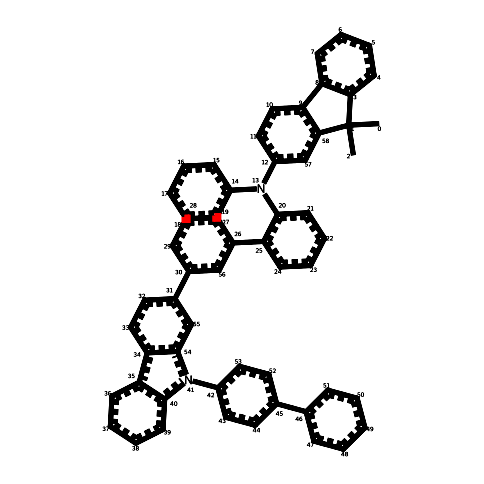 CC1(C)c2ccccc2-c2ccc(N(c3ccccc3)c3ccccc3-c3cccc(-c4ccc5c6ccccc6n(-c6ccc(-c7ccccc7)cc6)c5c4)c3)cc21